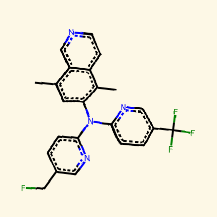 Cc1cc(N(c2ccc(CF)cn2)c2ccc(C(F)(F)F)cn2)c(C)c2ccncc12